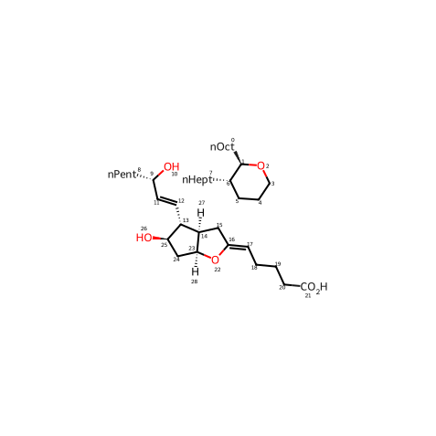 CCCCCCCC[C@H]1OCCC[C@@H]1CCCCCCC.CCCCC[C@H](O)/C=C/[C@@H]1[C@H]2C/C(=C/CCCC(=O)O)O[C@H]2C[C@H]1O